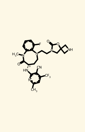 Cc1cc(C(F)(F)F)c(C#N)c(N[C@H]2CCN(CCN3CC4(CNC4)OC3=O)c3c(F)cccc3N(C)C2=O)n1